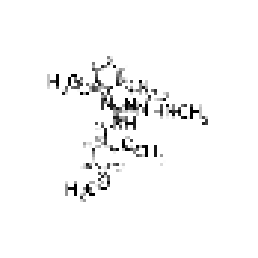 CNCc1nc2c3cccc(OC)c3nc(NCc3ccc(OC)cc3OC)n2n1